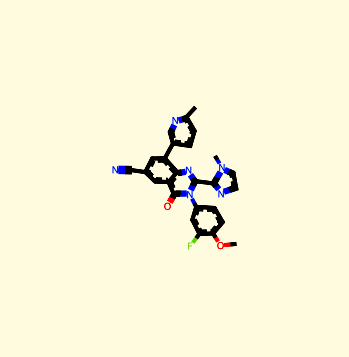 COc1ccc(-n2c(-c3nccn3C)nc3c(-c4ccc(C)nc4)cc(C#N)cc3c2=O)cc1F